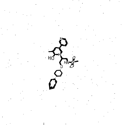 CC1=CC(c2cccnc2)=CN(C(CNS(C)(=O)=O)CO[C@H]2CC[C@@H](c3ccccc3)CC2)C1O